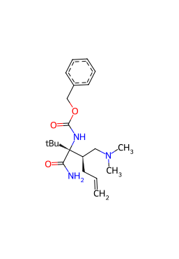 C=CC[C@H](CN(C)C)[C@@](NC(=O)OCc1ccccc1)(C(N)=O)C(C)(C)C